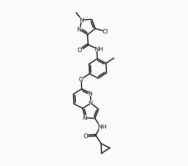 Cc1ccc(Oc2ccc3nc(NC(=O)C4CC4)cn3n2)cc1NC(=O)c1nn(C)cc1Cl